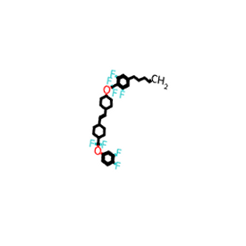 C=CCCCc1cc(F)c(C(F)(F)OC2CCC(/C=C/C3CCC(C(F)(F)Oc4ccc(F)c(F)c4)CC3)CC2)c(F)c1